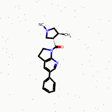 C[C@@H]1CN(C#N)C[C@H]1C(=O)N1CCc2cc(-c3ccccc3)cnc21